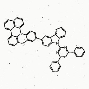 c1ccc(-c2cc(-c3ccccc3)nc(-n3c4ccccc4c4cc(-c5ccc6c(c5)sc5cccc7c5-n6c5cccc6cccc7c65)ccc43)n2)cc1